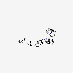 C=N/C(=C\N(N)c1cccc(N)c1/C=N\C)CC1CN2C=C(CNCC3CC(C)(F)C3)C=CC2=N1